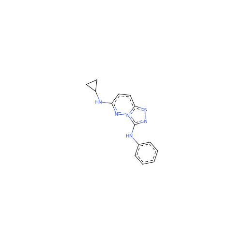 c1ccc(Nc2nnc3ccc(NC4CC4)nn23)cc1